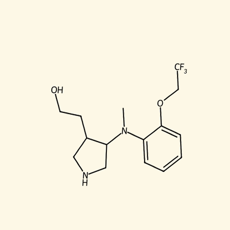 CN(c1ccccc1OCC(F)(F)F)C1CNCC1CCO